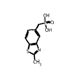 Cc1nc2cc(CP(=O)(O)O)ccc2s1